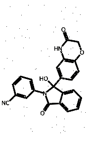 N#Cc1cccc(N2C(=O)c3ccccc3C2(O)c2ccc3c(c2)NC(=O)CO3)c1